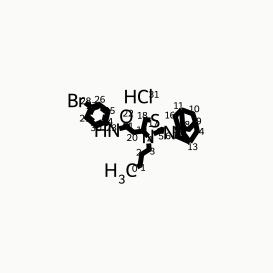 CCCCN1/C(=N/C23CC4CC(CC(C4)C2)C3)SCC1CC(=O)Nc1ccc(Br)cc1.Cl